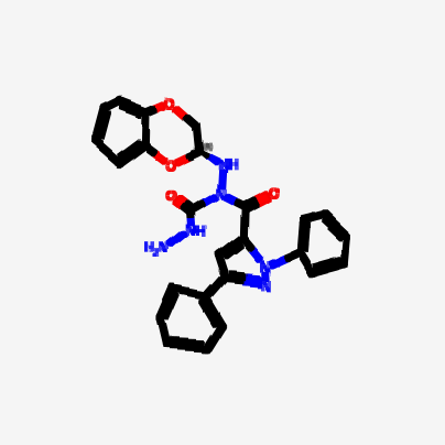 NNC(=O)N(N[C@@H]1COc2ccccc2O1)C(=O)c1cc(-c2ccccc2)nn1-c1ccccc1